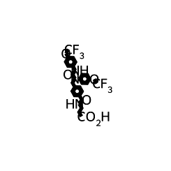 O=C(O)CCNC(=O)c1ccc(CN(C(=O)Nc2ccc(OC(F)(F)F)cc2)c2ccc(OC(F)(F)F)cc2)cc1